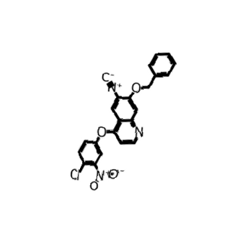 [C-]#[N+]c1cc2c(Oc3ccc(Cl)c([N+](=O)[O-])c3)ccnc2cc1OCc1ccccc1